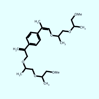 C=C(COC(C)COC(C)COC)c1ccc(/C(C)=C\OC(C)COC(C)COC)cc1